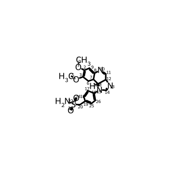 COC1=C(OC)CC2C(=C1)N=CC1N=CN(c3ccc(CS(N)(=O)=O)cc3)[C@@H]12